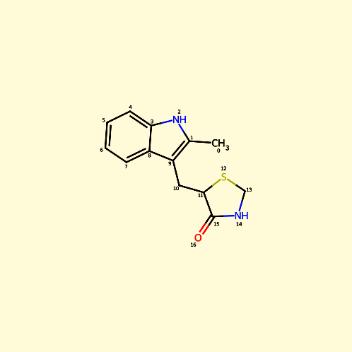 Cc1[nH]c2ccccc2c1CC1SCNC1=O